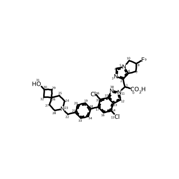 O=C(O)C(c1ncn2c1CC(F)C2)n1cc2c(Cl)cc(-c3ccc(CN4CCC5(CC4)CC(O)C5)cc3)c(Cl)c2n1